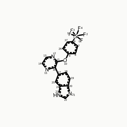 FS(F)(F)(F)(F)c1ccc(Oc2nccnc2-c2ccc3nc[nH]c3c2)cc1